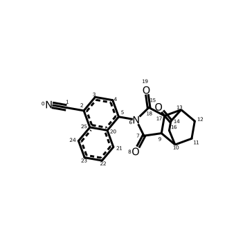 N#Cc1ccc(N2C(=O)C3C4CCC(C(=O)C4)C3C2=O)c2ccccc12